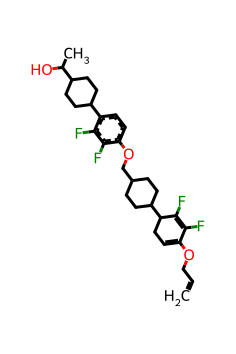 C=CCOC1=CCC(C2CCC(COc3ccc(C4CCC(C(C)O)CC4)c(F)c3F)CC2)C(F)=C1F